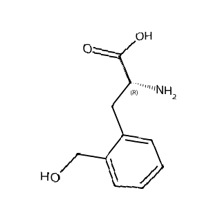 N[C@H](Cc1ccccc1CO)C(=O)O